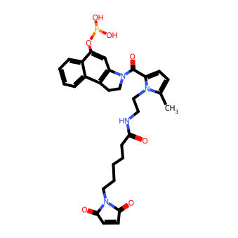 Cc1ccc(C(=O)N2CCc3c2cc(OP(O)O)c2ccccc32)n1CCNC(=O)CCCCCN1C(=O)C=CC1=O